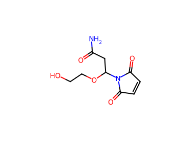 NC(=O)CC(OCCO)N1C(=O)C=CC1=O